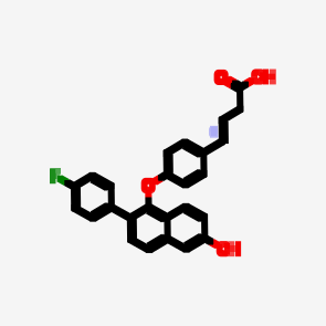 O=C(O)C/C=C/c1ccc(Oc2c(-c3ccc(F)cc3)ccc3cc(O)ccc23)cc1